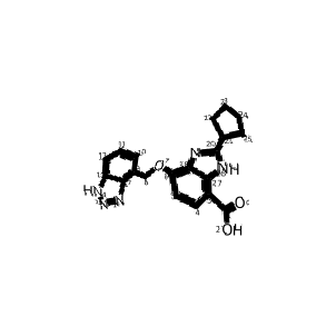 O=C(O)c1ccc(OCc2cccc3[nH]nnc23)c2nc(C3CCCC3)[nH]c12